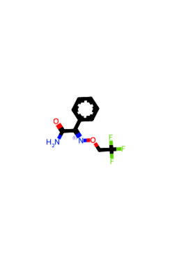 NC(=O)/C(=N/OCC(F)(F)F)c1ccccc1